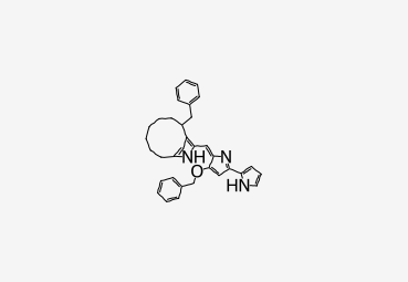 C(=C1N=C(c2ccc[nH]2)C=C1OCc1ccccc1)c1[nH]c2cc1C(Cc1ccccc1)CCCCCC2